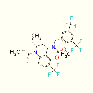 CCC(=O)N1c2ccc(C(F)(F)F)cc2[C@@H](N(Cc2cc(C(F)(F)F)cc(C(F)(F)F)c2)C(=O)OC)C[C@H]1CC